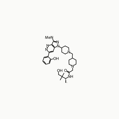 [CH2][C@H](NC(=O)CN1CCC(CN2CCC(n3nc(NC)c4nnc(-c5ccccc5O)cc43)CC2)CC1)C(C)(C)CO